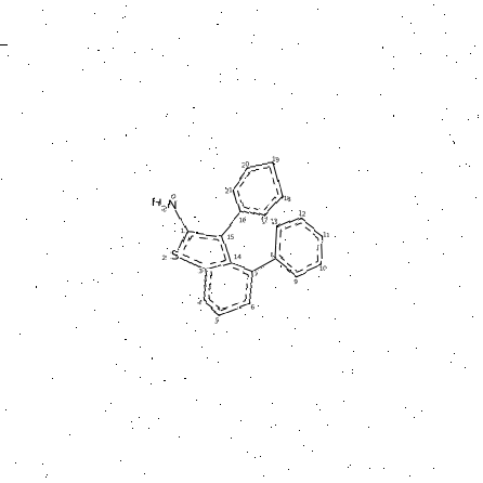 Nc1sc2cccc(-c3ccccc3)c2c1-c1ccccc1